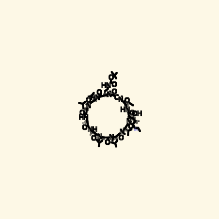 C/C=C/C[C@@H](C)[C@@H](O)[C@H]1C(=O)N[C@@H](CC)C(=O)N(C)CC(=O)N(C)[C@@H](CCNC(=O)OC(C)(C)C)C(=O)N[C@@H](C(C)C)C(=O)N(C)[C@@H](CC(C)C)C(=O)N[C@@H](C)C(=O)N[C@@H](C)C(=O)N(C)[C@@H](CC(C)C)C(=O)N(C)[C@@H](CC(C)C)C(=O)N(C)[C@@H](C(C)C)C(=O)N1C